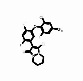 O=c1c(-c2cc(Oc3c(F)cc(C(F)(F)F)cc3Cl)c(F)cc2F)c(Cl)n2n1CCCC2